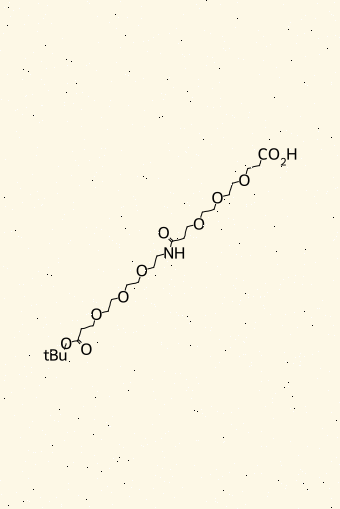 CC(C)(C)OC(=O)CCOCCOCCOCCNC(=O)CCOCCOCCOCCC(=O)O